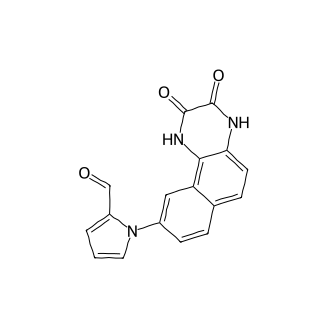 O=Cc1cccn1-c1ccc2ccc3[nH]c(=O)c(=O)[nH]c3c2c1